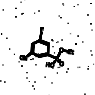 [C-]#[N+]c1cc(F)cc(P(=O)(O)OCC)c1